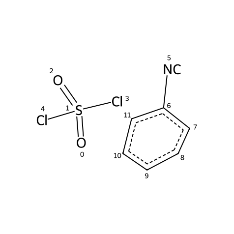 O=S(=O)(Cl)Cl.[C-]#[N+]c1ccccc1